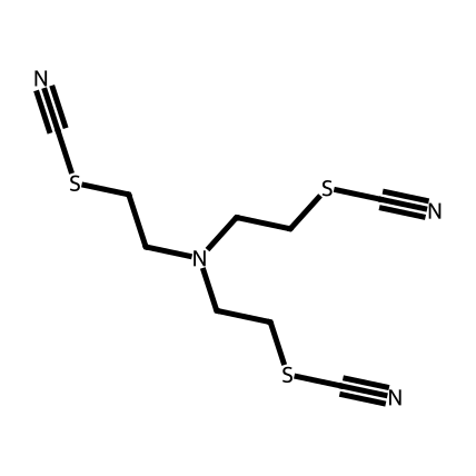 N#CSCCN(CCSC#N)CCSC#N